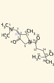 CC1/C(=C/N(C)C)C(=O)CN1C(=O)CCC(C)(C)C